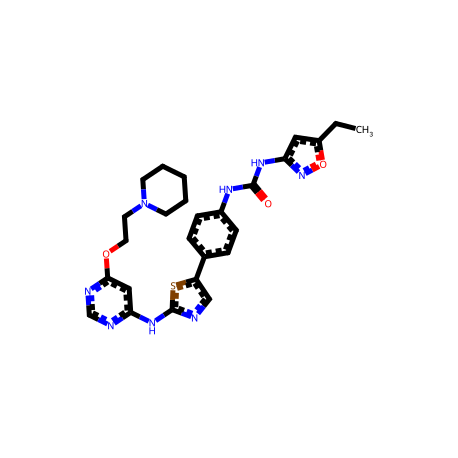 CCc1cc(NC(=O)Nc2ccc(-c3cnc(Nc4cc(OCCN5CCCCC5)ncn4)s3)cc2)no1